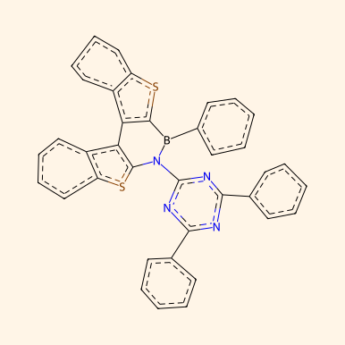 c1ccc(B2c3sc4ccccc4c3-c3c(sc4ccccc34)N2c2nc(-c3ccccc3)nc(-c3ccccc3)n2)cc1